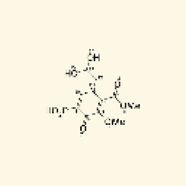 COC(=O)c1c(OC)c(=O)c(C(=O)O)cn1CC(O)O